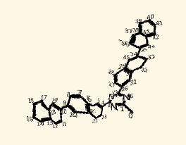 Cc1nc(C2=Cc3ccc(-c4ccc5ccccc5c4)cc3CC2)nc(-c2ccc3c(c2)CCC(c2ccc4ccccc4c2)=C3)n1